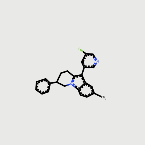 Cc1ccc2c(c1)c(-c1cncc(F)c1)c1n2CC(c2ccccc2)CC1